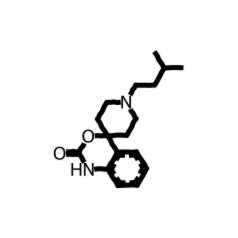 CC(C)CCN1CCC2(CC1)OC(=O)Nc1ccccc12